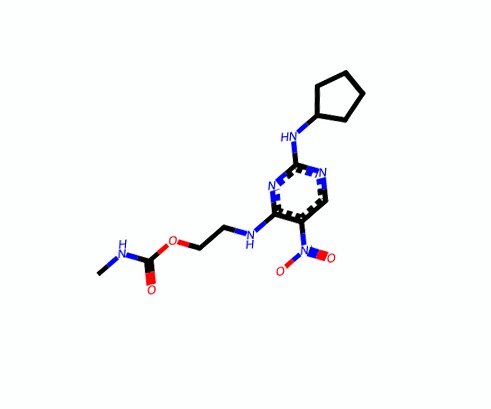 CNC(=O)OCCNc1nc(NC2CCCC2)ncc1[N+](=O)[O-]